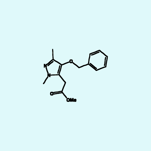 COC(=O)Cc1c(OCc2ccccc2)c(C)nn1C